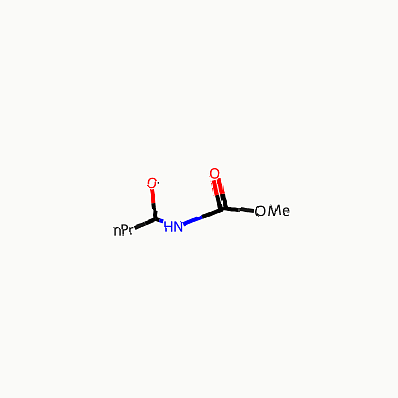 CCCC([O])NC(=O)OC